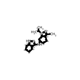 Cc1nn(C(C)C)c2cc(Nc3n[nH]c4ccccc34)ccc12